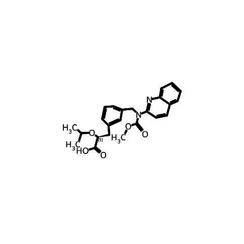 COC(=O)N(Cc1cccc(C[C@H](OC(C)C)C(=O)O)c1)c1ccc2ccccc2n1